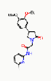 CCOc1cc(C2CC(=O)N(CC(=O)Nc3cccc(C)n3)C2)ccc1OC